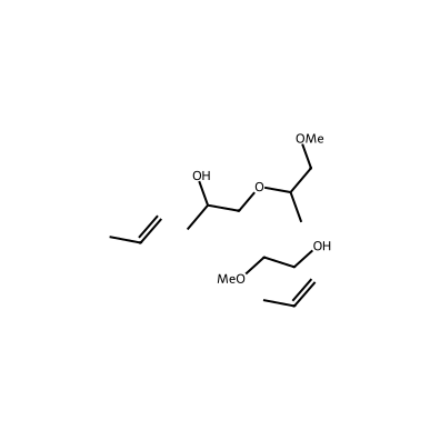 C=CC.C=CC.COCC(C)OCC(C)O.COCCO